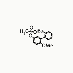 CCC(C)c1ccccc1-c1cc(OS(C)(=O)=O)ccc1OC